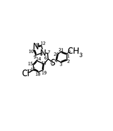 Cc1ccc(SC(Cn2ccnc2)c2ccc(Cl)cc2)cc1